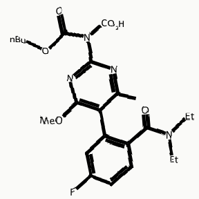 CCCCOC(=O)N(C(=O)O)c1nc(C)c(-c2cc(F)ccc2C(=O)N(CC)CC)c(OC)n1